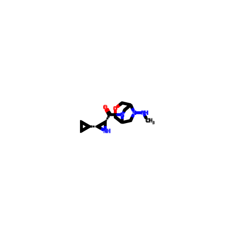 CNN1CC2COCC1CN2C(=O)[C@@H]1N[C@@H]1C1CC1